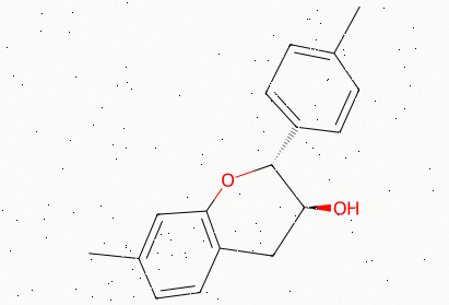 Cc1ccc([C@H]2Oc3cc(C)ccc3C[C@@H]2O)cc1